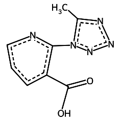 Cc1nnnn1-c1ncccc1C(=O)O